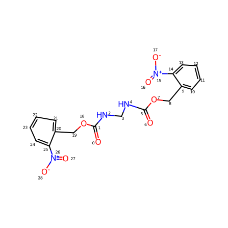 O=C(NCNC(=O)OCc1ccccc1[N+](=O)[O-])OCc1ccccc1[N+](=O)[O-]